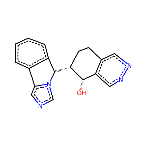 O[C@H]1c2cnncc2CC[C@H]1C1c2ccccc2-c2cncn21